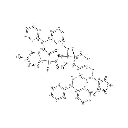 CO[C@@]1(NC(=O)C(Cl)(C(=O)OC(c2ccccc2)c2ccccc2)c2ccc(O)cc2)C(=O)N2C(C(=O)OC(c3ccccc3)c3ccccc3)=C(CSc3nnnn3C)CS[C@H]21